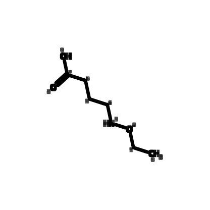 CCONCCCC(=O)O